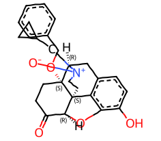 O=C1CC[C@@]2(OCc3ccccc3)[C@H]3Cc4ccc(O)c5c4[C@@]2(CC[N+]3([O-])CC2CC2)[C@H]1O5